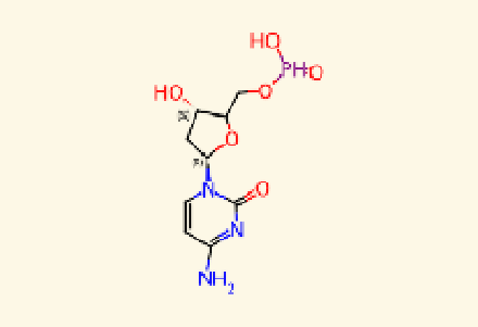 Nc1ccn([C@H]2C[C@H](O)C(CO[PH](=O)O)O2)c(=O)n1